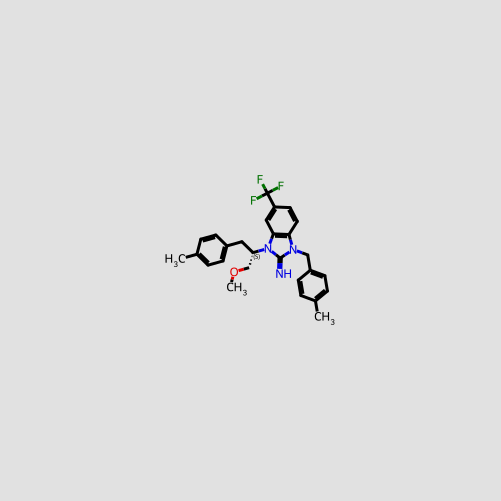 COC[C@H](Cc1ccc(C)cc1)n1c(=N)n(Cc2ccc(C)cc2)c2ccc(C(F)(F)F)cc21